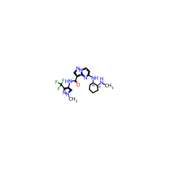 CN[C@H]1CCCC[C@H]1Nc1ccn2ncc(C(=O)Nc3cn(C)nc3C(F)(F)F)c2n1